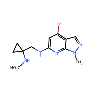 Cn1ncc2c(Br)cc(NCC3(NC(=O)O)CC3)nc21